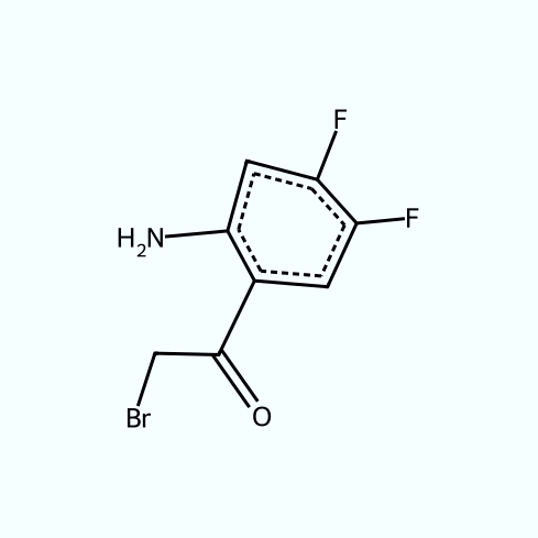 Nc1cc(F)c(F)cc1C(=O)CBr